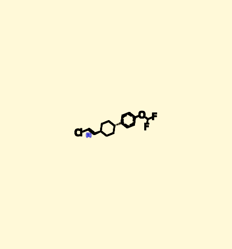 FC(F)Oc1ccc([C@H]2CC[C@H](/C=C/Cl)CC2)cc1